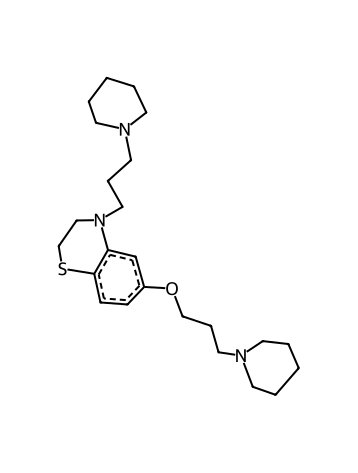 c1cc2c(cc1OCCCN1CCCCC1)N(CCCN1CCCCC1)CCS2